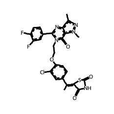 CC(=C1SC(=O)NC1=O)c1ccc(OCCn2c(-c3ccc(F)c(F)c3)nc3c(C)nn(C)c3c2=O)c(Cl)c1